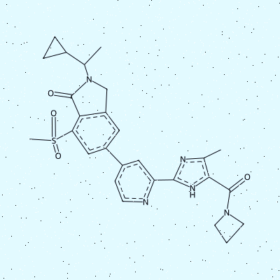 Cc1nc(-c2cc(-c3cc4c(c(S(C)(=O)=O)c3)C(=O)N(C(C)C3CC3)C4)ccn2)[nH]c1C(=O)N1CCC1